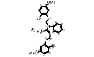 CCc1ccc(OC)cc1SCn1c(N)[n+](CSc2cc(OC)ccc2CC)c2ccccc21.[Br-]